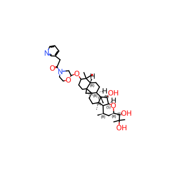 C[C@@H]1C[C@H]([C@H](O)C(C)(C)O)O[C@H]2C1[C@@]1(C)CC[C@@]34CC35CCC(OC3CN(C(=O)Cc6cccnc6)CCO3)C(C)(C)[C@@H]5CC[C@H]4[C@]1(C)[C@H]2O